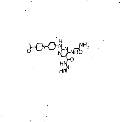 CC(=O)N1CCN(c2ccc(Nc3ncc(C(=O)NN=N)c(NCC(N)=O)n3)cc2)CC1